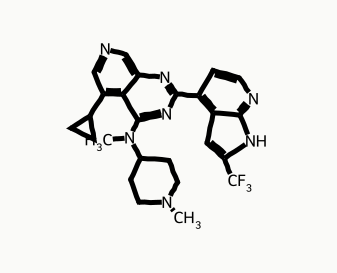 CN1CCC(N(C)c2nc(-c3ccnc4[nH]c(C(F)(F)F)cc34)nc3cncc(C4CC4)c23)CC1